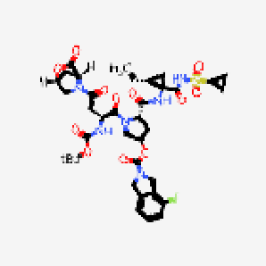 C=C[C@@H]1C[C@]1(NC(=O)[C@@H]1C[C@@H](OC(=O)N2Cc3cccc(F)c3C2)CN1C(=O)[C@H](CC(=O)N1C[C@H]2C[C@@H]1C(=O)O2)NC(=O)OC(C)(C)C)C(=O)NS(=O)(=O)C1CC1